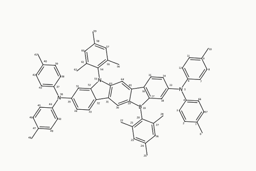 Cc1ccc(N(c2ccc(C)cc2)c2ccc3c(c2)B(c2c(C)cc(C)cc2C)c2cc4c5ccc(N(c6ccc(C)cc6)c6ccc(C)cc6)cc5n(-c5c(C)cc(C)cc5C)c4cc2-3)cc1